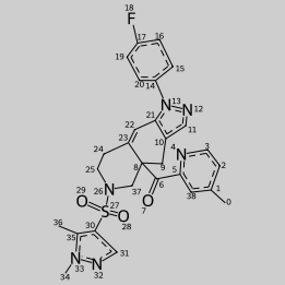 Cc1ccnc(C(=O)C23Cc4cnn(-c5ccc(F)cc5)c4C=C2CCN(S(=O)(=O)c2cnn(C)c2C)C3)c1